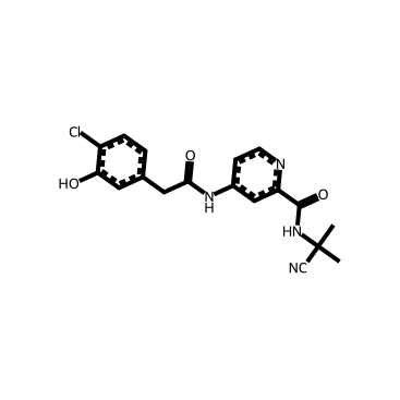 CC(C)(C#N)NC(=O)c1cc(NC(=O)Cc2ccc(Cl)c(O)c2)ccn1